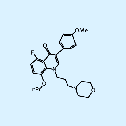 CCCOc1ccc(F)c2c(=O)c(-c3ccc(OC)cc3)cn(CCCN3CCOCC3)c12